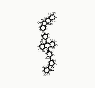 CC1(C)c2ccc(-c3ccc(-c4c5ccccc5c(-c5ccc(-c6ccc7oc8ccccc8c7c6)cc5)c5ccccc45)cc3)cc2-c2cc3ccccc3cc21